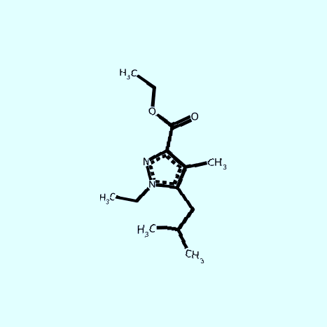 CCOC(=O)c1nn(CC)c(CC(C)C)c1C